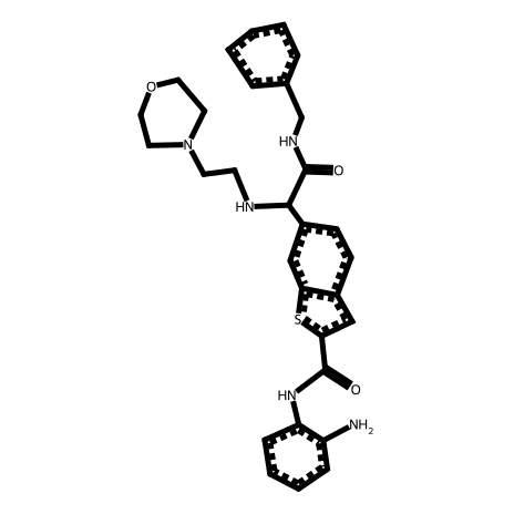 Nc1ccccc1NC(=O)c1cc2ccc(C(NCCN3CCOCC3)C(=O)NCc3ccccc3)cc2s1